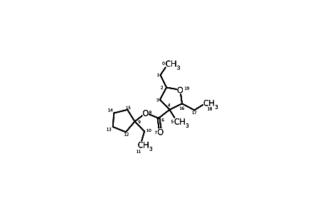 CCC1CC(C)(C(=O)OC2(CC)CCCC2)C(CC)O1